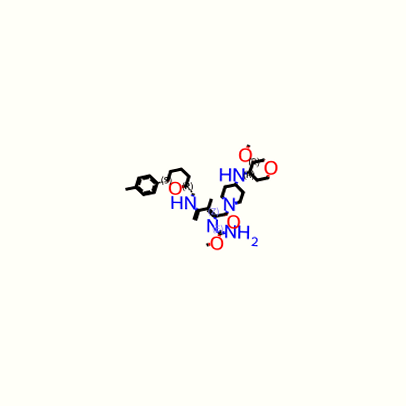 C=C(NC[C@H]1CCC[C@@H](c2ccc(C)cc2)O1)/C(C)=C(\N=C(/N)OC)C(=O)N1CCC(N[C@@H]2CCOC[C@@H]2OC)CC1